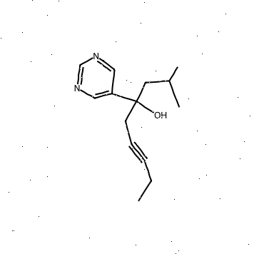 CCC#CCC(O)(CC(C)C)c1cncnc1